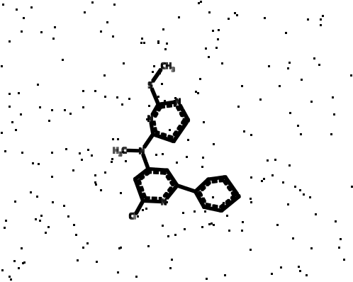 CSc1nccc(N(C)c2cc(Cl)nc(-c3ccccc3)c2)n1